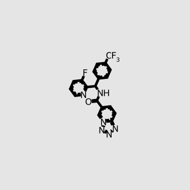 O=C(NC(c1ccc(C(F)(F)F)cc1)c1ncccc1F)c1ccc2nnnn2c1